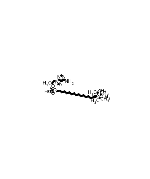 CC(C)[Si](C#CCCCCCCCCCCCCCCCOP(=O)(O)CO[C@H](C)Cn1cnc2c(N)ncnc21)(C(C)C)C(C)C